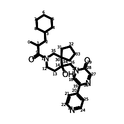 CC(CC1CCCCC1)C(=O)N1CCC(O)(Cn2cc(-c3ccncc3)ncc2=O)C2(CCCC2)C1